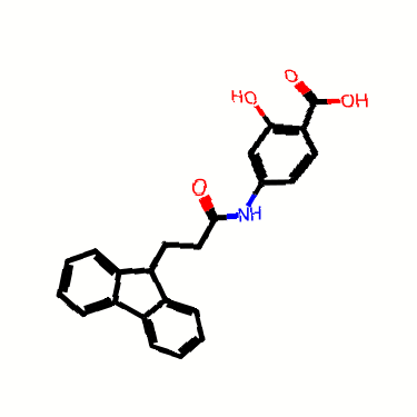 O=C(CCC1c2ccccc2-c2ccccc21)Nc1ccc(C(=O)O)c(O)c1